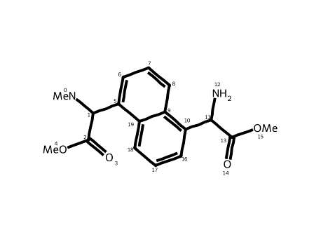 CNC(C(=O)OC)c1cccc2c(C(N)C(=O)OC)cccc12